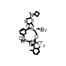 Cc1cccc(C)c1-c1nc2nc(c1C(F)(F)F)OC[C@@H](CC(C)(C)C)N(Cc1cncc(N(C)C3CCC3)n1)C(=O)c1cccc(c1)S(=O)(=O)N2